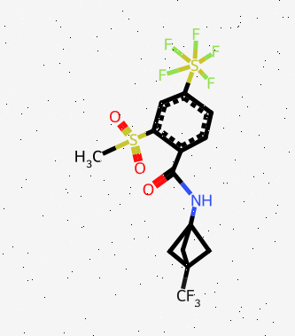 CS(=O)(=O)c1cc(S(F)(F)(F)(F)F)ccc1C(=O)NC12CC(C(F)(F)F)(C1)C2